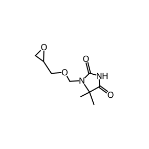 CC1(C)C(=O)NC(=O)N1COCC1CO1